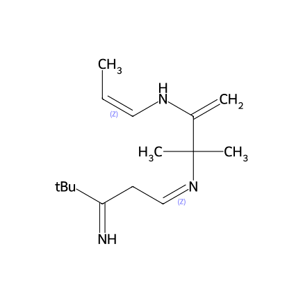 C=C(N/C=C\C)C(C)(C)/N=C\CC(=N)C(C)(C)C